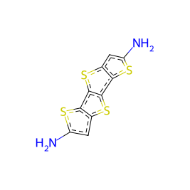 Nc1cc2sc3c4sc(N)cc4sc3c2s1